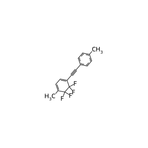 CC1=CC=C(C#Cc2ccc(C)cc2)C(F)(F)C1(F)F